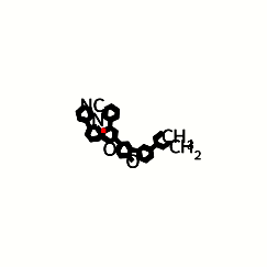 C=C/C=C(\C=C/C)c1ccc2oc3cc4oc5ccc(-c6cccc(C#N)c6-n6c7ccccc7c7ccccc76)cc5c4cc3c2c1